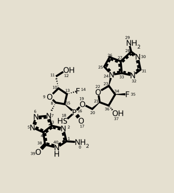 Nc1nc2c(nnn2[C@@H]2O[C@H](CO)[C@H](F)[C@H]2P(=O)(S)OC[C@H]2O[C@@H](n3ccc4c(N)ncnc43)[C@@H](F)[C@@H]2O)c(=O)[nH]1